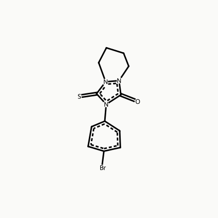 O=c1n(-c2ccc(Br)cc2)c(=S)n2n1CCCC2